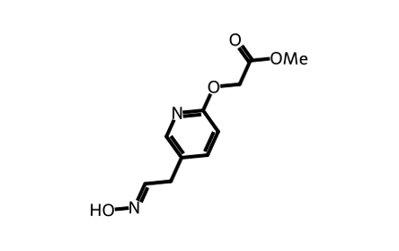 COC(=O)COc1ccc(CC=NO)cn1